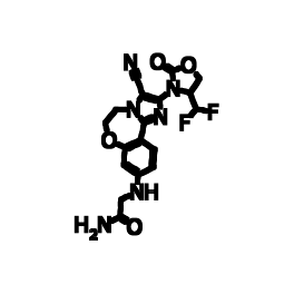 N#Cc1c(N2C(=O)OCC2C(F)F)nc2n1CCOc1cc(NCC(N)=O)ccc1-2